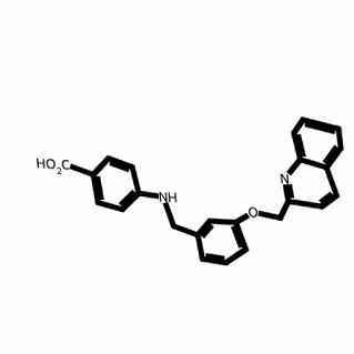 O=C(O)c1ccc(NCc2cccc(OCc3ccc4ccccc4n3)c2)cc1